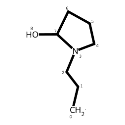 [CH2]CCN1CCCC1O